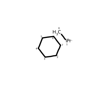 C[C](C)C.[CH]1CCCCC1